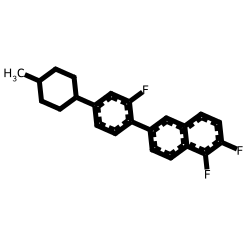 CC1CCC(c2ccc(-c3ccc4c(F)c(F)ccc4c3)c(F)c2)CC1